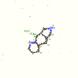 Cl.Cl.c1cnc2cc3c[nH]cc3cc2c1